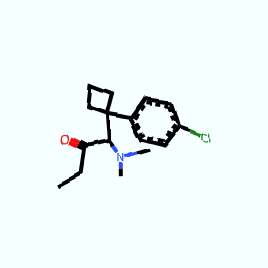 CCC(=O)C(N(C)C)C1(c2ccc(Cl)cc2)CCC1